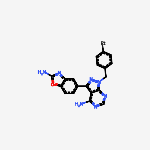 CCc1ccc(Cn2nc(-c3ccc4oc(N)nc4c3)c3c(N)ncnc32)cc1